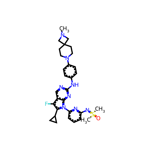 CN1CC2(CCN(c3ccc(Nc4ncc5c(F)c(C6CC6)n(-c6cccc(N=S(C)(C)=O)n6)c5n4)cc3)CC2)C1